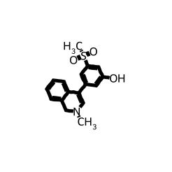 CN1C=C(c2cc(O)cc(S(C)(=O)=O)c2)c2ccccc2C1